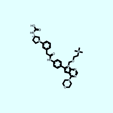 C[Si](C)(C)CCOCn1c(-c2ccc(NC(=O)Cc3cccc(N4CC[C@H](NC(=O)O)C4)c3)cc2)cc2c(N3CCOCC3)ncnc21